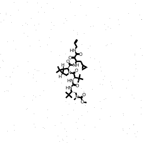 C=CCNC(=O)C(=O)C(CC1CC1)NC(=O)[C@@H]1[C@@H]2[C@H](CN1C(=O)[C@@H](NC(=O)N[C@H](CN(C)C(=O)OC)C(C)(C)C)C(C)(C)C)C2(C)C